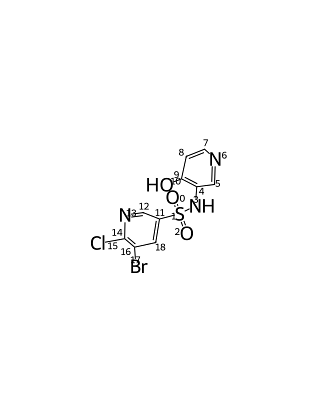 O=S(=O)(Nc1cnccc1O)c1cnc(Cl)c(Br)c1